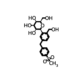 CS(=O)(=O)c1ccc(Cc2ccc(CO)c([C@@H]3O[C@H](CO)[C@@H](O)[C@H](O)[C@H]3O)c2)cc1